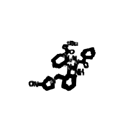 CC(C)(C)OC(=O)N1CCCC[C@@H](N2c3c(CN4CCC(N=O)C4)cccc3NC2N(N)C(=O)c2ccccc2)C1